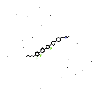 C/C=C/CCC1CCC(C2CC=C(c3ccc(-c4ccc(-c5ccc(CCCCC)c(F)c5F)cc4)cc3F)CC2)CC1